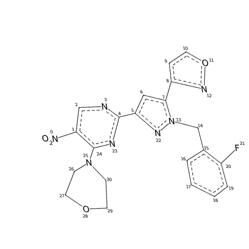 O=[N+]([O-])c1cnc(-c2cc(-c3ccon3)n(Cc3ccccc3F)n2)nc1N1CCOCC1